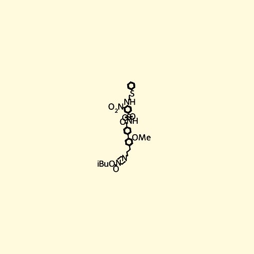 COc1cc(CCCN2CCN(C(=O)OCC(C)C)CC2)ccc1-c1ccc(C(=O)NS(=O)(=O)c2ccc(NCCSc3ccccc3)c([N+](=O)[O-])c2)cc1